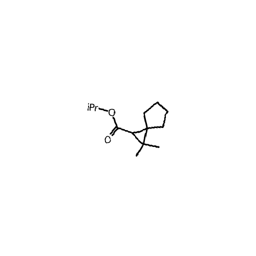 CC(C)OC(=O)C1C(C)(C)C12CCCC2